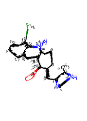 Cc1[nH]cnc1C=C1CCc2[nH]c3c(F)cccc3c2C1=O